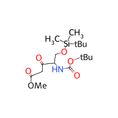 COC(=O)CC(=O)C(CO[Si](C)(C)C(C)(C)C)NC(=O)OC(C)(C)C